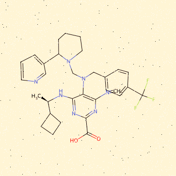 C=Nc1nc(C(=O)O)nc(N[C@H](C)C2CCC2)c1N(Cc1ccc(C(F)(F)F)cc1)CN1CCCCC1c1cccnc1